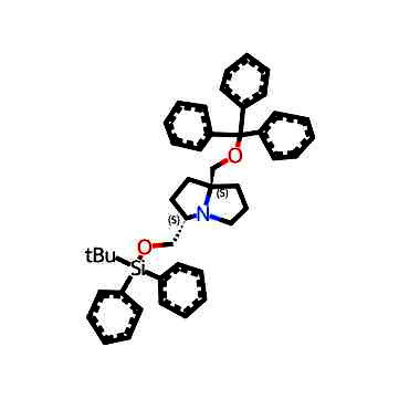 CC(C)(C)[Si](OC[C@@H]1CC[C@]2(COC(c3ccccc3)(c3ccccc3)c3ccccc3)CCCN12)(c1ccccc1)c1ccccc1